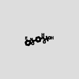 CC(C)(O)C(=O)Nc1ccc(-c2nc3c(F)cccc3o2)cc1